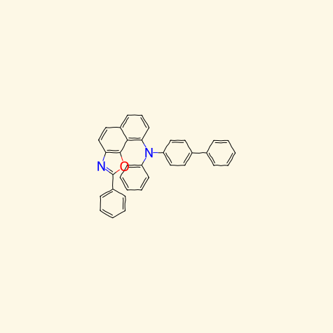 c1ccc(-c2ccc(N(c3ccccc3)c3cccc4ccc5nc(-c6ccccc6)oc5c34)cc2)cc1